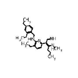 CCC/C(NC)=C(/C=N)c1ccc(CC)c(NCc2ccc(CC)cc2CC)n1